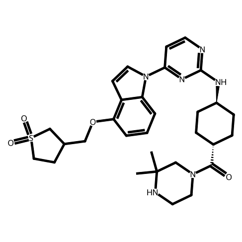 CC1(C)CN(C(=O)[C@H]2CC[C@H](Nc3nccc(-n4ccc5c(OCC6CCS(=O)(=O)C6)cccc54)n3)CC2)CCN1